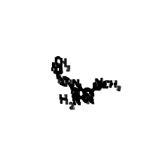 Cc1ccc(CN2CCN(c3ccc(-c4cc(-c5cnn(C)c5)cn5ncc(C(N)=O)c45)cn3)CC2)cn1